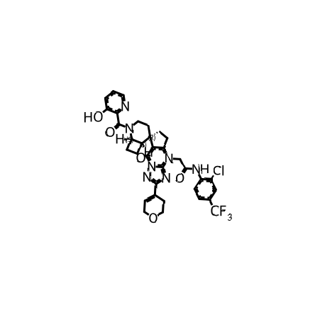 O=C(Cn1c2c(c(=O)n3nc(C4=CCOCC4)nc13)[C@]1(CC2)CCN(C(=O)c2ncccc2O)[C@H]2CC[C@H]21)Nc1ccc(C(F)(F)F)cc1Cl